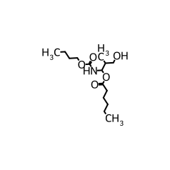 CCCCCC(=O)OC(NC(=O)OCCCC)C(C)CO